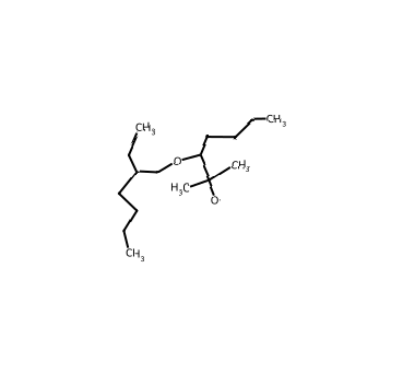 CCCCC(CC)COC(CCCC)C(C)(C)[O]